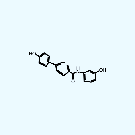 C=C(/C=C\C(=C/C)c1ccc(O)cc1)C(=O)Nc1cccc(O)c1